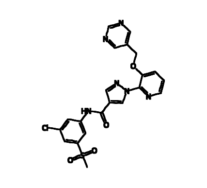 CS(=O)(=O)c1cc(Cl)cc(NC(=O)c2cnn(-c3ncccc3OCc3cncnc3)c2)c1